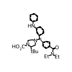 CCN(CC)C(=O)c1ccc([C@H](c2cccc(Nc3ccccc3)c2)N2CCN(C(=O)O)C(C(C)(C)C)C2)cc1